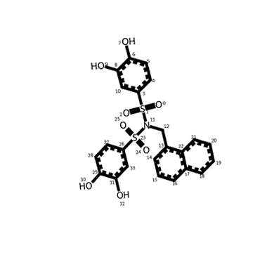 O=S(=O)(c1ccc(O)c(O)c1)N(Cc1cccc2ccccc12)S(=O)(=O)c1ccc(O)c(O)c1